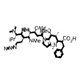 CC[C@H](C)[C@@H](C(NC)[C@@H](CCN=[N+]=[N-])C(N)[C@H](C(C)C)N(C)C)[C@@H](CC(=O)N1CCC[C@H]1[C@H](OC)[C@H](C)C(N)C(Cc1ccccc1)C(=O)O)OC